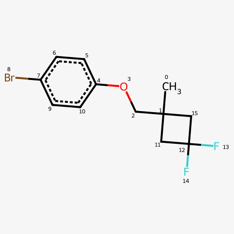 CC1(COc2ccc(Br)cc2)CC(F)(F)C1